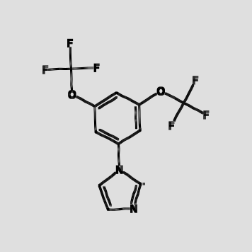 FC(F)(F)Oc1cc(OC(F)(F)F)cc(-n2[c]ncc2)c1